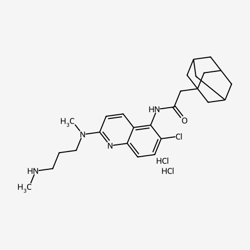 CNCCCN(C)c1ccc2c(NC(=O)CC34CC5CC(CC(C5)C3)C4)c(Cl)ccc2n1.Cl.Cl